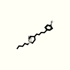 CCCCC[SiH]1CCC(CCCCc2ccc(F)cc2)CC1